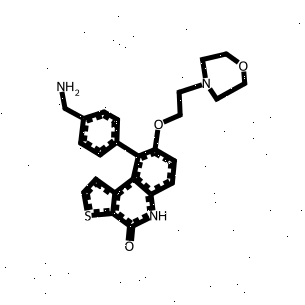 NCc1ccc(-c2c(OCCN3CCOCC3)ccc3[nH]c(=O)c4sccc4c23)cc1